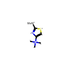 CNc1nc([N+](C)(C)C)cs1